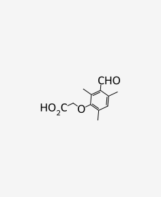 Cc1cc(C)c(OCC(=O)O)c(C)c1C=O